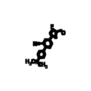 CN(C)c1ccc(-c2ccc(-c3cc(F)c(C=O)s3)cc2C#N)cc1